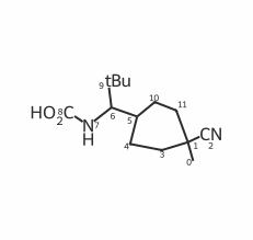 CC1(C#N)CCC(C(NC(=O)O)C(C)(C)C)CC1